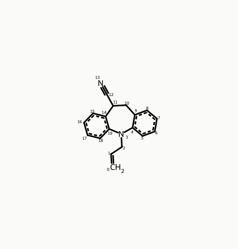 C=CCN1c2ccccc2CC(C#N)c2ccccc21